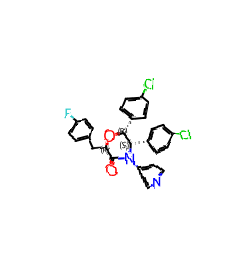 O=C1[C@@H](Cc2ccc(F)cc2)O[C@H](c2ccc(Cl)cc2)[C@H](c2ccc(Cl)cc2)N1c1ccncc1